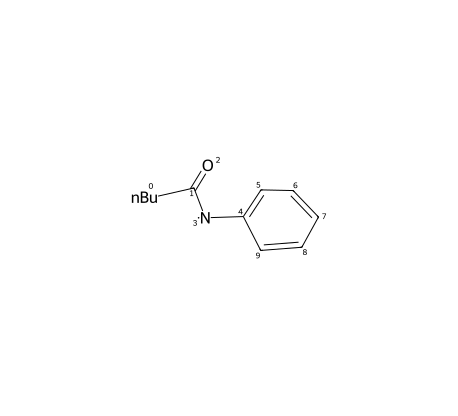 CCCCC(=O)[N]c1ccccc1